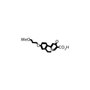 COCCCOc1ccc2c(c1)CCn1cc(C(=O)O)c(=O)cc1-2